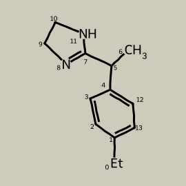 CCc1ccc(C(C)C2=NCCN2)cc1